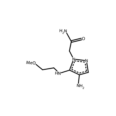 COCCNc1c(N)cnn1CC(N)=O